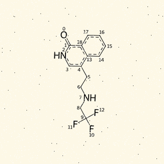 O=c1[nH]cc(CCNCC(F)(F)F)c2ccccc12